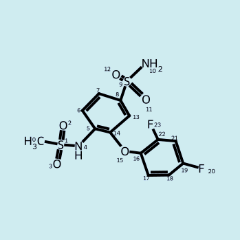 CS(=O)(=O)Nc1ccc(S(N)(=O)=O)cc1Oc1ccc(F)cc1F